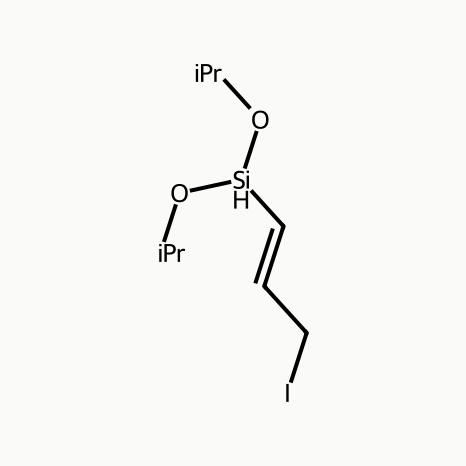 CC(C)O[SiH](C=CCI)OC(C)C